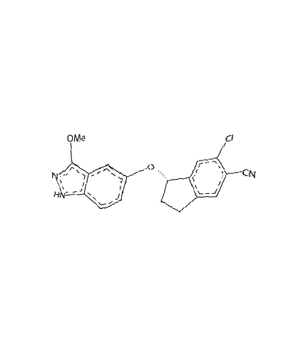 COc1n[nH]c2ccc(O[C@H]3CCc4cc(C#N)c(Cl)cc43)cc12